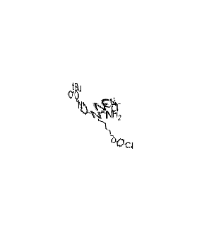 CC(C)(C)C(=O)OC[n+]1ccc(N(CCCCCCOc2ccc(Cl)cc2)C(N)=NC#N)cc1.[Cl-]